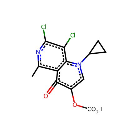 Cc1nc(Cl)c(Cl)c2c1c(=O)c(OC(=O)O)cn2C1CC1